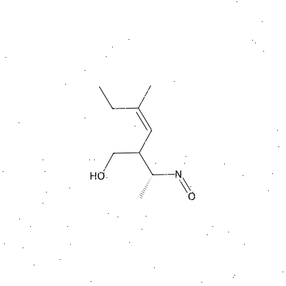 CC/C(C)=C\C(CO)[C@@H](C)N=O